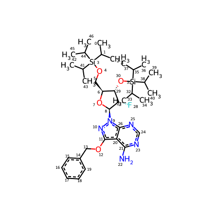 CC(C)[Si](OC[C@@H]1O[C@H](n2nc(OCc3ccccc3)c3c(N)ncnc32)[C@@H](F)[C@H]1O[Si](C(C)C)(C(C)C)C(C)C)(C(C)C)C(C)C